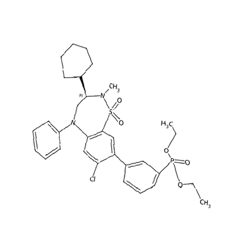 CCOP(=O)(OCC)c1cccc(-c2cc3c(cc2Cl)N(c2ccccc2)C[C@@H](C2CCCCC2)N(C)S3(=O)=O)c1